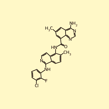 Cc1cc(C(=O)Nc2c(C)ccc3c(Nc4cccc(Cl)c4F)nccc23)c2ncnc(N)c2c1